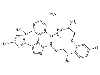 COc1cccc(OC)c1-n1c(NSCC(O)c2ccc(Cl)cc2OSN(C)C)nnc1-c1ccc(C)o1.S